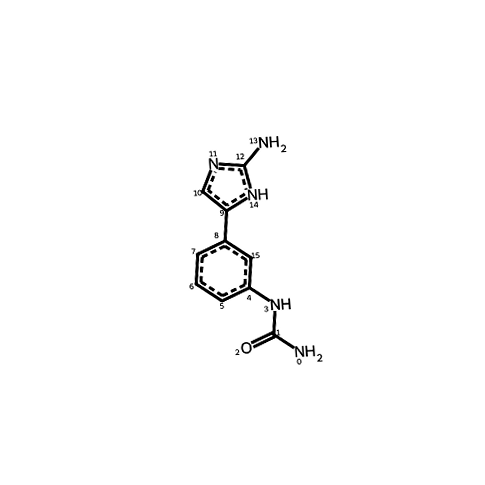 NC(=O)Nc1cccc(-c2cnc(N)[nH]2)c1